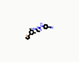 CC1=CC(c2cccs2)=CC(C)C1Nc1ccnc(Nc2ccc(C#N)cc2)n1